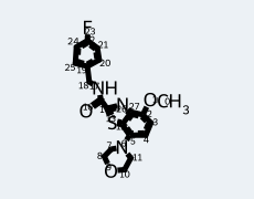 COc1ccc(N2CCOCC2)c2sc(C(=O)NCc3ccc(F)cc3)nc12